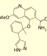 COc1cnc2ccc(C(N)=O)c(OC3(C)C=CC=CC3c3cn[nH]c3)c2c1